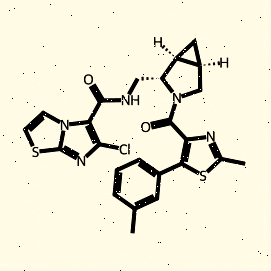 Cc1cccc(-c2sc(C)nc2C(=O)N2C[C@@H]3C[C@@H]3[C@H]2CNC(=O)c2c(Cl)nc3sccn23)c1